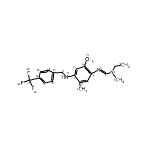 CCN(C)C=Nc1cc(C)c(NCc2ccc(C(F)(F)F)cc2)cc1C